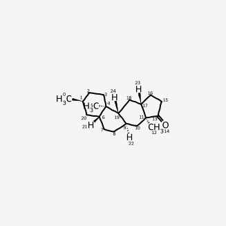 C[C@H]1CC[C@]2(C)[C@H](CC[C@@H]3C[C@]4(C)C(=O)CC[C@H]4C[C@H]32)C1